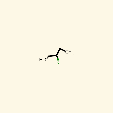 C[CH]C(Cl)CC